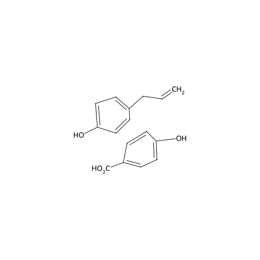 C=CCc1ccc(O)cc1.O=C(O)c1ccc(O)cc1